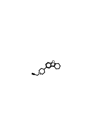 C#CCN1CCC(c2ccc3oc4c(c3c2)CCCC4)CC1